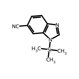 C[Si](C)(C)n1cnc2ccc(C#N)cc21